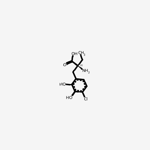 CC[C@](N)(Cc1ccc(Cl)c(O)c1O)C(=O)O